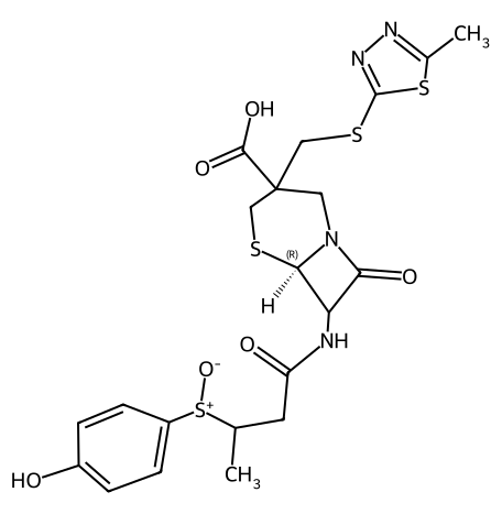 Cc1nnc(SCC2(C(=O)O)CS[C@@H]3C(NC(=O)CC(C)[S+]([O-])c4ccc(O)cc4)C(=O)N3C2)s1